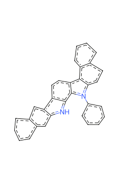 c1ccc(-n2c3ccc4ccccc4c3c3ccc4c5cc6ccccc6cc5[nH]c4c32)cc1